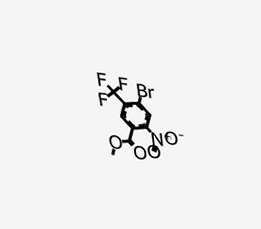 COC(=O)c1cc(C(F)(F)F)c(Br)cc1[N+](=O)[O-]